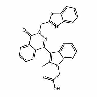 Cc1c(-c2nn(Cc3nc4ccccc4s3)c(=O)c3ccccc23)c2ccccc2n1CC(=O)O